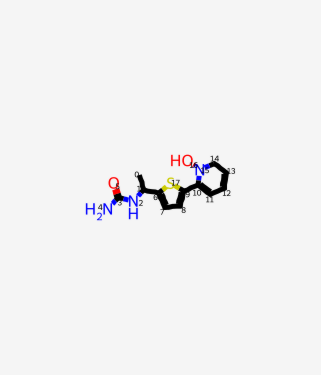 CC(NC(N)=O)c1ccc(C2=CC=CCN2O)s1